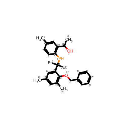 CCC(CC)(Pc1ccc(C)cc1C(C)O)c1cc(C)cc(C)c1OCc1ccccc1